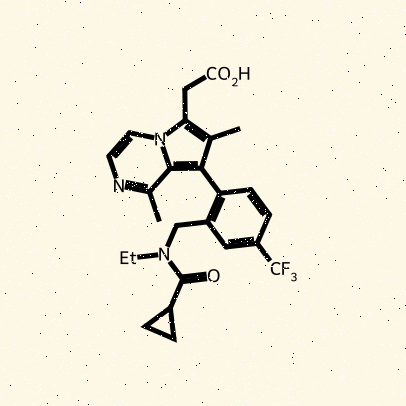 CCN(Cc1cc(C(F)(F)F)ccc1-c1c(C)c(CC(=O)O)n2ccnc(C)c12)C(=O)C1CC1